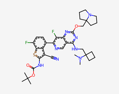 CN(C)C1(CNc2nc(OCC34CCCN3CCC4)nc3c(F)c(-c4ccc(F)c5sc(NC(=O)OC(C)(C)C)c(C#N)c45)ncc23)CCC1